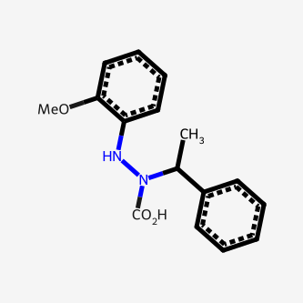 COc1ccccc1NN(C(=O)O)C(C)c1ccccc1